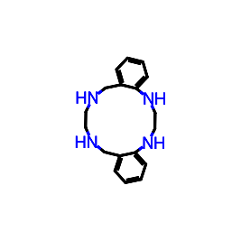 c1ccc2c(c1)CNCCNCc1ccccc1NCCN2